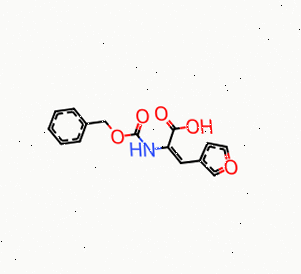 O=C(NC(=Cc1ccoc1)C(=O)O)OCc1ccccc1